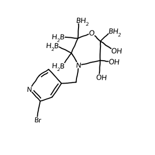 BC1(B)OC(B)(O)C(O)(O)N(Cc2ccnc(Br)c2)C1(B)B